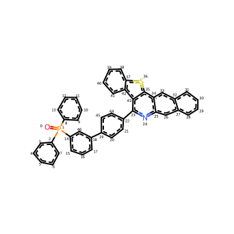 O=P(c1ccccc1)(c1ccccc1)c1cccc(-c2ccc(-c3nc4cc5ccccc5cc4c4sc5ccccc5c34)cc2)c1